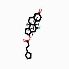 C[C@]12CCC(=O)C=C1CC[C@@H]1[C@H]2C(F)C[C@]2(C)C(OC(=O)CCC3CCCC3)CC[C@@H]12